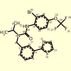 CC(C)N(Cc1cccc(-c2nccs2)c1)C(=O)Nc1ccc(OC(F)(F)F)cc1Br